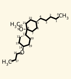 CCCCC[C@H]1CC[C@@](OC)([C@H]2CC[C@H](OCCC)CC2)CC1